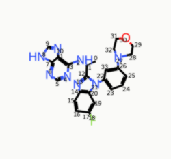 C[C@H](Nc1ncnc2[nH]cnc12)c1nc2ccc(F)cc2n1-c1cccc(N2CCOCC2)c1